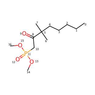 CCCCCC(C)(C)C(=O)CP(=O)(OC)OC